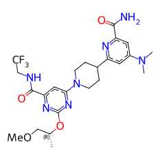 COC[C@@H](C)Oc1nc(C(=O)NCC(F)(F)F)cc(N2CCC(c3cc(N(C)C)cc(C(N)=O)n3)CC2)n1